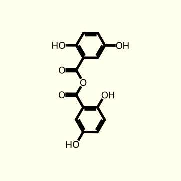 O=C(OC(=O)c1cc(O)ccc1O)c1cc(O)ccc1O